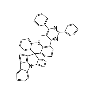 Cc1c(-c2ccccc2)nc(-c2ccccc2)nc1-c1cccc2c1Sc1ccccc1C21c2ccccc2-n2c3ccccc3c3cccc1c32